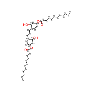 CCCCCCCCCCCC(=O)Oc1ccc(CCCc2ccc(OC(=O)CCCCCCCCCCC)cc2O)c(O)c1